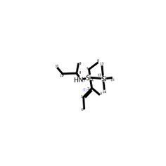 C/C=C(\C)[Si](CC)(NC(C)CC)[Si](C)(C)C